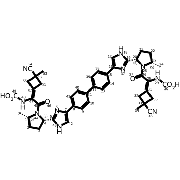 C[C@H]1CC[C@@H](c2nc(-c3ccc(-c4ccc(-c5c[nH]c([C@@H]6CC[C@H](C)N6C(=O)C(NC(=O)O)=C6CC(C)(C#N)C6)n5)cc4)cc3)c[nH]2)N1C(=O)C(NC(=O)O)=C1CC(C)(C#N)C1